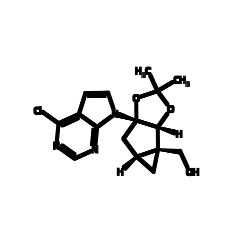 CC1(C)O[C@@H]2[C@]3(CO)C[C@@H]3C[C@]2(n2ccc3c(Cl)ncnc32)O1